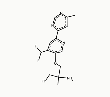 Cc1cc(-c2cc(C(F)F)c(OCC(C)(N)CC(C)C)cn2)ncn1